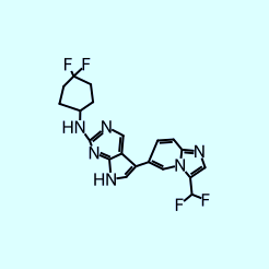 FC(F)c1cnc2ccc(-c3c[nH]c4nc(NC5CCC(F)(F)CC5)ncc34)cn12